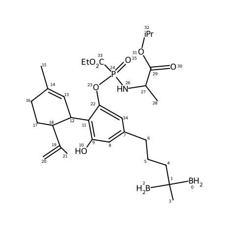 BC(B)(C)CCCc1cc(O)c(C2C=C(C)CCC2C(=C)C)c(OP(=O)(NC(C)C(=O)OC(C)C)C(=O)OCC)c1